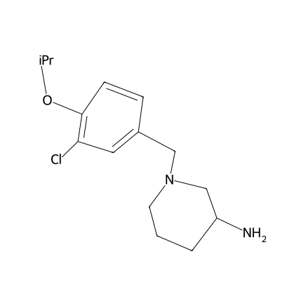 CC(C)Oc1ccc(CN2CCCC(N)C2)cc1Cl